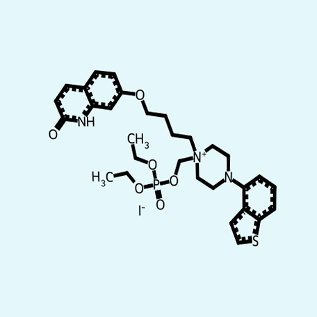 CCOP(=O)(OCC)OC[N+]1(CCCCOc2ccc3ccc(=O)[nH]c3c2)CCN(c2cccc3sccc23)CC1.[I-]